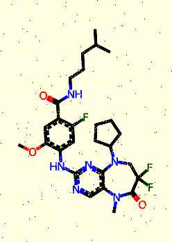 COc1cc(C(=O)NCCCC(C)C)c(F)cc1Nc1ncc2c(n1)N(C1CCCC1)CC(F)(F)C(=O)N2C